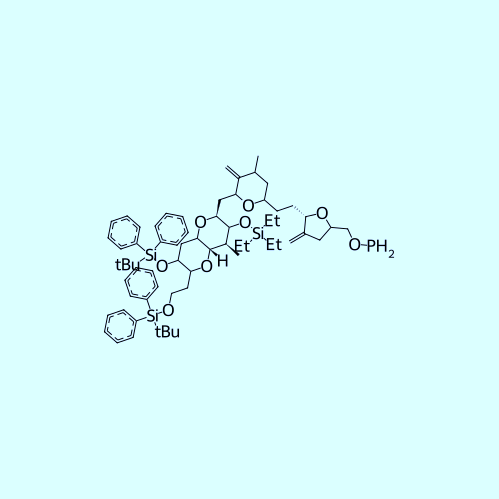 C=C1C(C)CC(CC[C@@H]2OC(COP)CC2=C)OC1C[C@@H]1OC2CC(O[Si](c3ccccc3)(c3ccccc3)C(C)(C)C)C(CCO[Si](c3ccccc3)(c3ccccc3)C(C)(C)C)O[C@H]2[C@H](C)C1O[Si](CC)(CC)CC